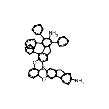 Nc1ccc2c(c1)Cc1cc3c(cc1-2)Oc1cccc2c1B3c1cc3c(c(-c4ccccc4)c1O2)-c1c(c(-c2ccccc2)c(N)c(-c2ccccc2)c1-c1ccccc1)C3